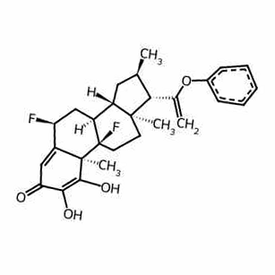 C=C(Oc1ccccc1)[C@H]1[C@H](C)C[C@H]2[C@@H]3C[C@H](F)C4=CC(=O)C(O)=C(O)[C@]4(C)[C@@]3(F)CC[C@@]21C